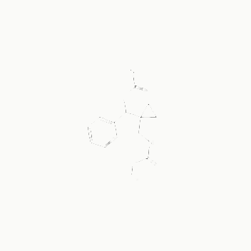 CC(C)(C)OC(=O)NCC1(C(OC(N)=O)c2ccccc2)CC1